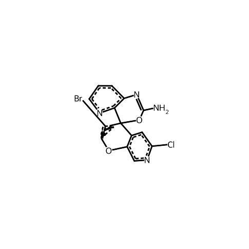 NC1=Nc2cccnc2C2(O1)c1cc(Br)ccc1Oc1cnc(Cl)cc12